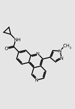 Cn1cc(-c2nc3cc(C(=O)NC4CC4)ccc3c3cnccc23)cn1